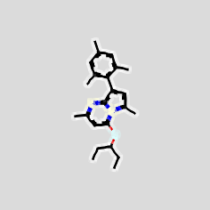 CCC(CC)Oc1cc(C)nc2c(-c3c(C)cc(C)cc3C)cc(C)n12